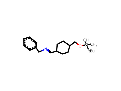 CC(C)(C)[Si](C)(C)OCC1CCC(C=NCc2ccccc2)CC1